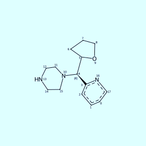 c1ccc([C@H](C2CCCO2)N2CCNCC2)nc1